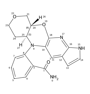 NC(=O)c1ccccc1N1c2cc3cc[nH]c3nc2O[C@H]2COCC[C@@H]21